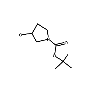 CC(C)(C)OC(=O)N1CCC([O])C1